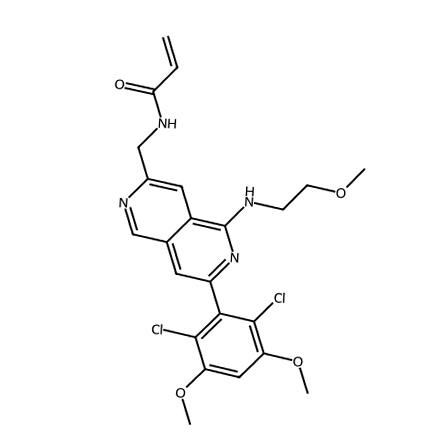 C=CC(=O)NCc1cc2c(NCCOC)nc(-c3c(Cl)c(OC)cc(OC)c3Cl)cc2cn1